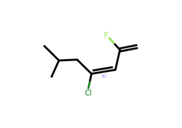 C=C(F)/C=C(/Cl)CC(C)C